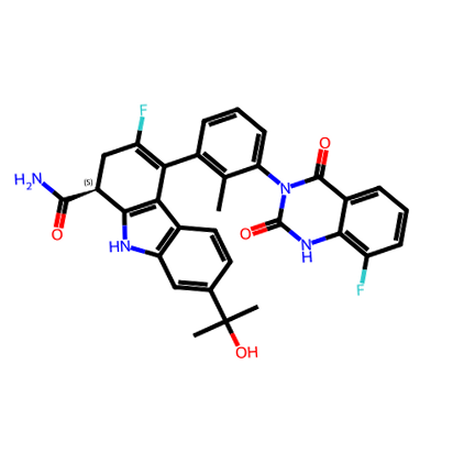 Cc1c(C2=C(F)C[C@H](C(N)=O)c3[nH]c4cc(C(C)(C)O)ccc4c32)cccc1-n1c(=O)[nH]c2c(F)cccc2c1=O